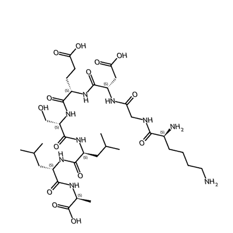 CC(C)C[C@H](NC(=O)[C@H](CC(C)C)NC(=O)[C@H](CO)NC(=O)[C@H](CCC(=O)O)NC(=O)[C@H](CC(=O)O)NC(=O)CNC(=O)[C@@H](N)CCCCN)C(=O)N[C@@H](C)C(=O)O